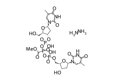 COC(=O)P(=O)(OP(=O)(O)OC[C@H]1O[C@@H](n2cc(C)c(=O)[nH]c2=O)C[C@@H]1O)OP(=O)(O)O[C@H]1C[C@H](n2cc(C)c(=O)[nH]c2=O)O[C@@H]1CO.N.N